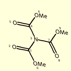 COC(=O)N(C(=O)OC)C(=O)OC